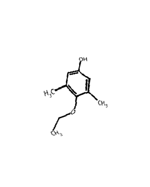 CCOc1c(C)cc(O)cc1C